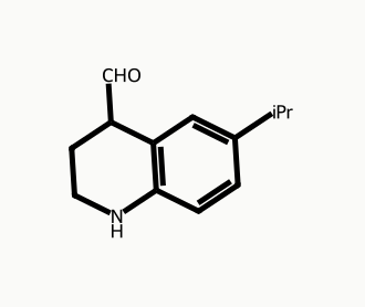 CC(C)c1ccc2c(c1)C(C=O)CCN2